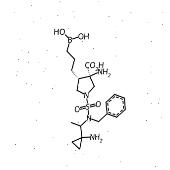 CC(N(Cc1ccccc1)S(=O)(=O)N1C[C@H](CCCB(O)O)[C@](N)(C(=O)O)C1)C1(N)CC1